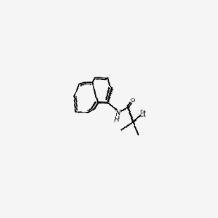 CCC(C)(C)C(=O)Nc1cccc2ccccc12